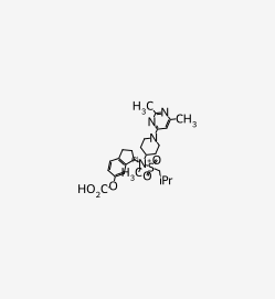 Cc1cc(N2CCC([N+](C)([C@@H]3CCc4ccc(OC(=O)O)cc43)S(=O)(=O)CC(C)C)CC2)nc(C)n1